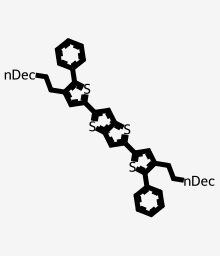 CCCCCCCCCCCCc1cc(-c2cc3sc(-c4cc(CCCCCCCCCCCC)c(-c5ccccc5)s4)cc3s2)sc1-c1ccccc1